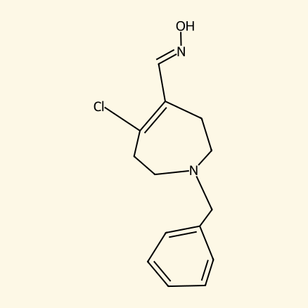 ON=CC1=C(Cl)CCN(Cc2ccccc2)CC1